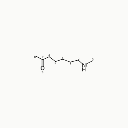 CNCCCCCC(C)=O